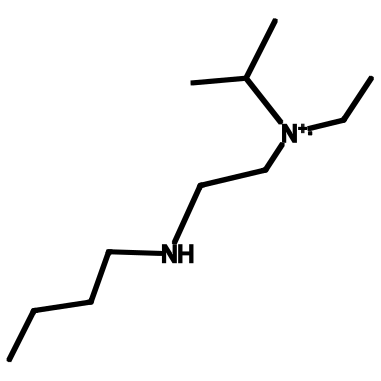 CCCCNCC[N+](CC)C(C)C